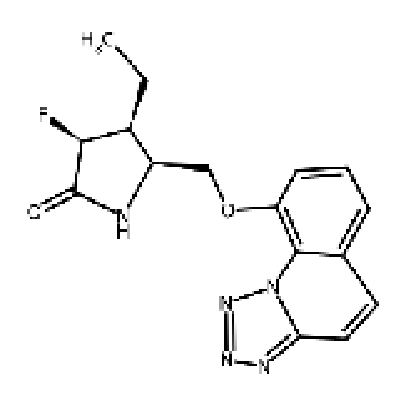 CC[C@@H]1[C@H](F)C(=O)N[C@@H]1COc1cccc2ccc3nnnn3c12